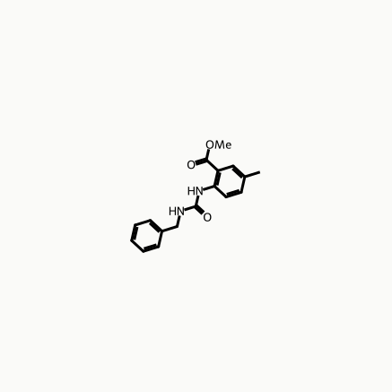 COC(=O)c1cc(C)ccc1NC(=O)NCc1ccccc1